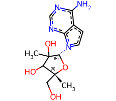 CC1(O)C(O)[C@@](C)(CO)O[C@H]1n1ccc2c(N)ncnc21